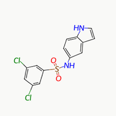 O=S(=O)(Nc1ccc2[nH]ccc2c1)c1cc(Cl)cc(Cl)c1